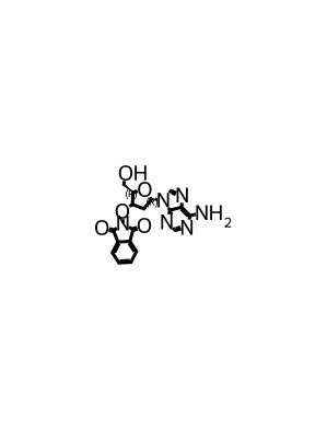 Nc1ncnc2c1ncn2[C@H]1CC(ON2C(=O)c3ccccc3C2=O)[C@@H](CO)O1